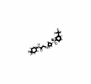 O=C(CN[C@H]1C[C@@H](S(=O)(=O)c2cccc(C(F)(F)F)c2)C1)NC1CCC(F)(F)CC1